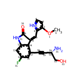 COc1cc[nH]c1C=C1C(=O)Nc2cc(F)cc(C#C[C@H](N)CO)c21